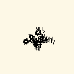 CCN(C(=O)[C@H]1O[C@@H](Cc2cccc(N)n2)[C@@H]2OC(C)(C)O[C@@H]21)n1c(N(N)CC(c2ccccc2)c2ccccc2)nc2cncnc21